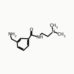 CN(C)CCNC(=O)c1cccc(CN)c1